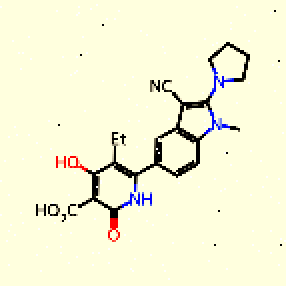 CCc1c(-c2ccc3c(c2)c(C#N)c(N2CCCC2)n3C)[nH]c(=O)c(C(=O)O)c1O